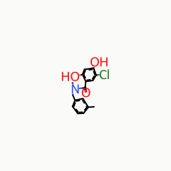 Cc1cccc(CN(C)C(=O)c2cc(Cl)c(O)cc2O)c1